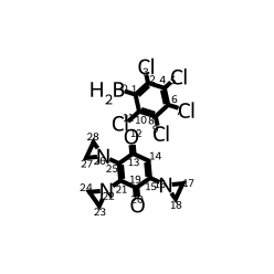 Bc1c(Cl)c(Cl)c(Cl)c(Cl)c1Cl.O=C1C=C(N2CC2)C(=O)C(N2CC2)=C1N1CC1